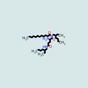 CCCCCCCCCCCC(=O)N(CC(CC)CCCC)C(=O)[C@@H](N)CCC(=O)NCC(CC)CCCC